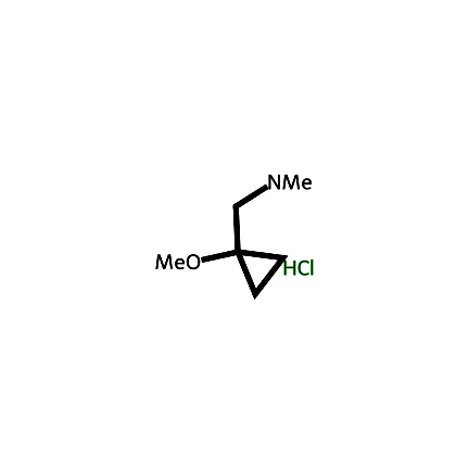 CNCC1(OC)CC1.Cl